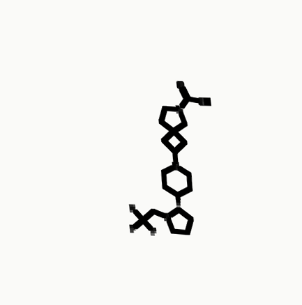 O=C(O)N1CCC2(CC(N3CCC([C@@H]4CCCN4CC(F)(F)F)CC3)C2)C1